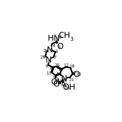 CNC(=O)CN1CCN(Cc2cc(O)c3c(c2)CCC(=O)CN3S(=O)O)CC1